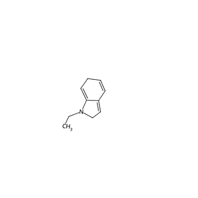 CCN1CC=C2C=CCC=C21